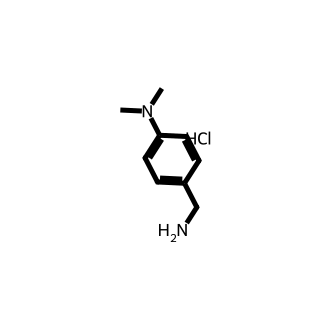 CN(C)c1ccc(CN)cc1.Cl